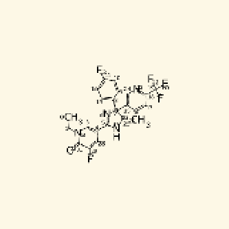 CCn1cc(C2=N[C@](c3ccc(F)cc3)(c3ccc(C(F)(F)F)nc3)[C@H](C)N2)cc(F)c1=O